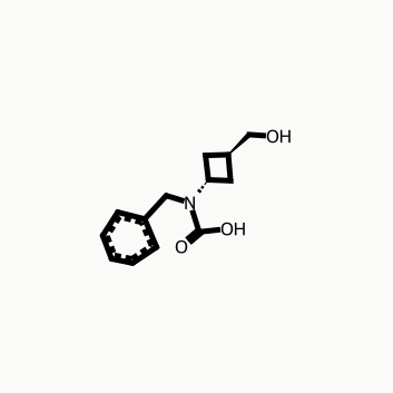 O=C(O)N(Cc1ccccc1)[C@H]1C[C@H](CO)C1